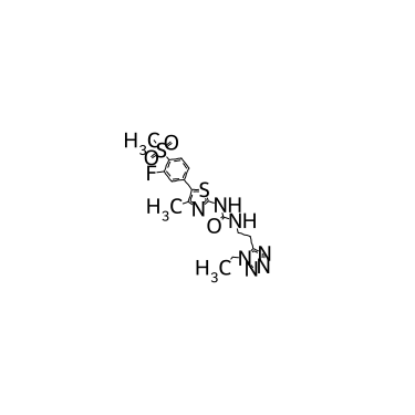 CCn1nnnc1CCNC(=O)Nc1nc(C)c(-c2ccc(S(C)(=O)=O)c(F)c2)s1